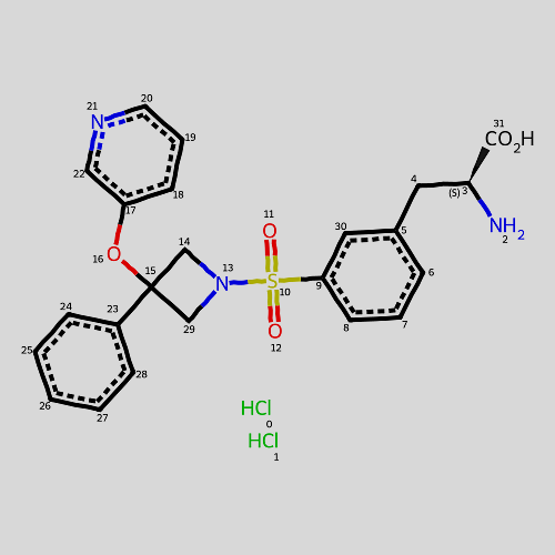 Cl.Cl.N[C@@H](Cc1cccc(S(=O)(=O)N2CC(Oc3cccnc3)(c3ccccc3)C2)c1)C(=O)O